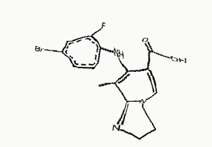 CC1=C(Nc2ccc(Br)cc2F)C(C(=O)O)=CN2CCN=C12